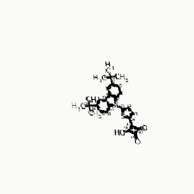 CC(C)(C)c1ccc2c(c1)c1cc(C(C)(C)C)ccc1n2-c1ccc(-c2c(O)c(=O)c2=O)s1